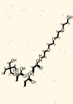 C=CC(=O)O.C=CC(=O)O.C=CC(=O)O.CCC(CO)(CO)CO.OCCOCCOCCOCCO